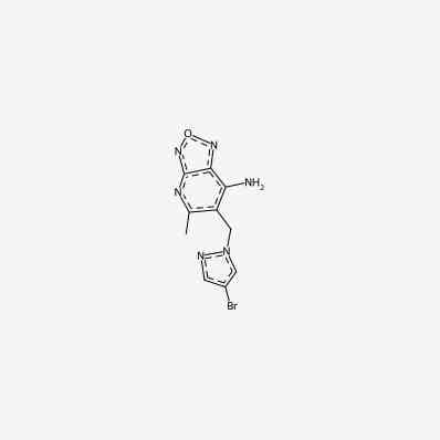 Cc1nc2nonc2c(N)c1Cn1cc(Br)cn1